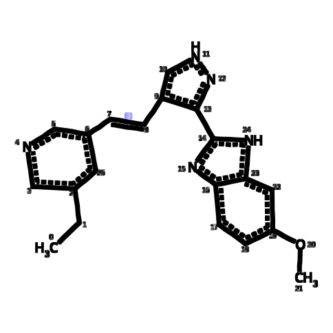 CCc1cncc(/C=C/c2c[nH]nc2-c2nc3ccc(OC)cc3[nH]2)c1